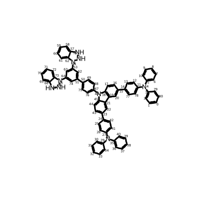 c1ccc(N(c2ccccc2)c2ccc(-c3ccc4c(c3)c3cc(-c5ccc(N(c6ccccc6)c6ccccc6)cc5)ccc3n4-c3ccc(-c4cc(N5NNc6ccccc65)cc(N5NNc6ccccc65)c4)cc3)cc2)cc1